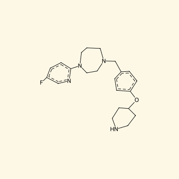 Fc1ccc(N2CCCN(Cc3ccc(OC4CCNCC4)cc3)CC2)nc1